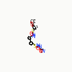 FC(F)(F)Oc1cccc(CSc2nnc(-c3cccc(-c4cccc(CSc5nnc(-c6cnco6)o5)c4)c3)o2)c1